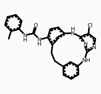 Cc1ccccc1NC(=O)Nc1ccc2cc1CCc1cccc(c1)Nc1ncc(Cl)c(n1)N2